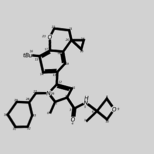 CC1C(C(=O)NC2(C)COC2)C=C(c2cc(C(C)(C)C)c3c(c2)C2(CCO3)CC2)N1CC1CCCCC1